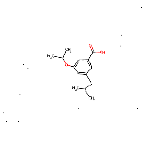 CC(C)Cc1cc(OC(C)C)cc(C(=O)O)c1